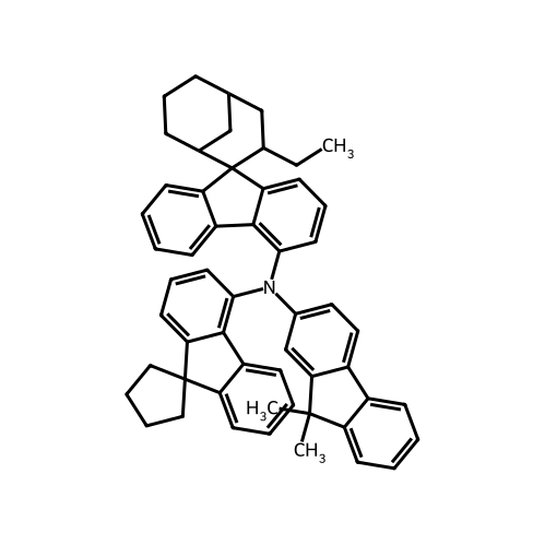 CCC1CC2CCCC(C2)C12c1ccccc1-c1c(N(c3ccc4c(c3)C(C)(C)c3ccccc3-4)c3cccc4c3-c3ccccc3C43CCCC3)cccc12